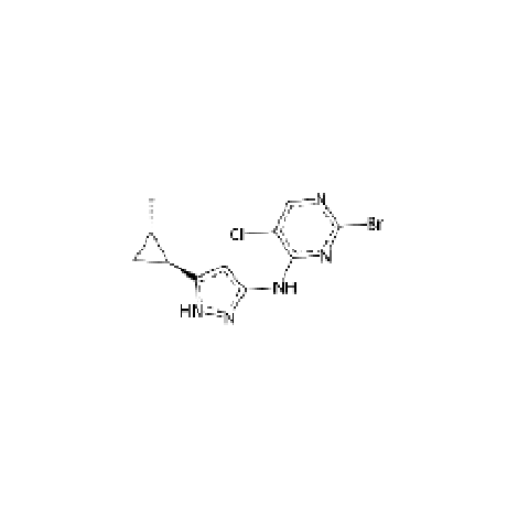 C[C@H]1C[C@@H]1c1cc(Nc2nc(Br)ncc2Cl)n[nH]1